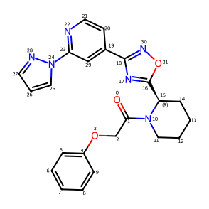 O=C(COc1ccccc1)N1CCCC[C@@H]1c1nc(-c2ccnc(-n3cccn3)c2)no1